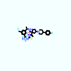 CC(NC(=O)C1(c2csc(N)n2)CCC(N2CCC(c3ccc(F)cc3)CC2)C1)c1cc(CF)cc(C(F)(F)F)c1